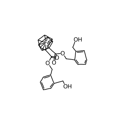 O=C(OCc1ccccc1CO)[C]12[CH]3[CH]4[CH]5[CH]1[Fe]45321678[CH]2[CH]1[CH]6[C]7(C(=O)OCc1ccccc1CO)[CH]28